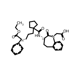 CCOC(=O)[C@H](CCCC1(C(=O)N[C@H]2CCc3ccccc3N(CC(=O)O)C2=O)CCCC1)c1ccccc1